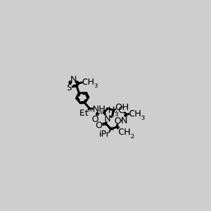 C=C(ON=C(C)C)[C@H](C(=O)N1C[C@H](O)C[C@H]1C(=O)N[C@@H](CC)c1ccc(-c2scnc2C)cc1)C(C)C